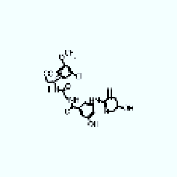 O=C(O)CC(NC(=O)CNC(=O)c1cc(O)cc(NC2=NCC(O)CN2)c1)c1cc(Cl)cc(OC(F)(F)F)c1